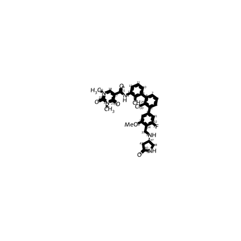 COc1cc(-c2cccc(-c3cccc(NC(=O)c4cn(C)c(=O)n(C)c4=O)c3C)c2Cl)cc(F)c1CN[C@@H]1CNC(=O)C1